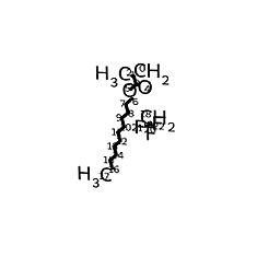 C=C(C)C(=O)OCCCCCCCCCCCC.[CH2]C(F)(F)F